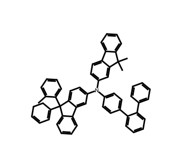 Cc1ccccc1C1(C2=CC=CCC2)c2ccccc2-c2cc(N(c3ccc(-c4ccccc4-c4ccccc4)cc3)c3ccc4c(c3)C(C)(C)c3ccccc3-4)ccc21